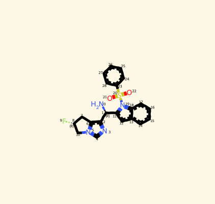 N[C@H](c1ncn2c1C[C@@H](F)C2)c1cc2ccccc2n1S(=O)(=O)c1ccccc1